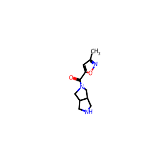 Cc1cc(C(=O)N2CC3CNCC3C2)on1